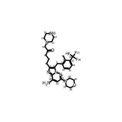 Cc1c(Cc2c(CCCC(=O)CN3CCNCC3)nc3c(N)cc(N4CCOCC4)nn23)cccc1C(F)(F)F